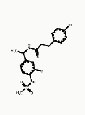 CC(NC(=O)CCc1ccc(Cl)cc1)c1ccc(NS(C)(=O)=O)c(F)c1